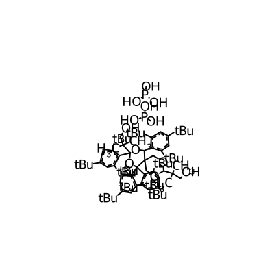 CC(C)(C)c1cc(C(C)(C)C)c(C2OC(c3c(C(C)(C)C)cc(C(C)(C)C)cc3C(C)(C)C)(C(C)(C)CO)OC(c3c(C(C)(C)C)cc(C(C)(C)C)cc3C(C)(C)C)(c3c(C(C)(C)C)cc(C(C)(C)C)cc3C(C)(C)C)C23COC(C(C)(C)CO)OC3)c(C(C)(C)C)c1.OP(O)O.OP(O)O